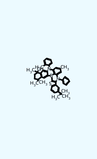 Cc1cc2c3c(c1)N(c1ccccc1)c1c(sc4ccc(C(C)(C)C)cc14)B3c1cc3c(cc1N2c1ccccc1C)C(C)(C)CCC3(C)C